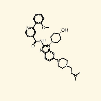 COc1ccccc1-c1cc(C(=O)Nc2nc3ccc(N4CCN(CCN(C)C)CC4)cc3n2[C@H]2CC[C@@H](O)CC2)ccn1